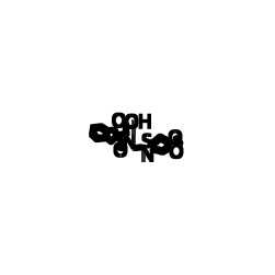 O=C(O)CC1(C(=O)NCc2nc3cc4c(cc3s2)OCO4)Cc2ccccc2C1